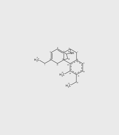 CCC1=CC=C2C3Cc4ccc(CC)c(C)c4C2(CCN3)C1